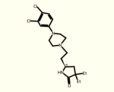 CCC1(CC)C[C@H](CCN2CCN(c3ccc(Cl)c(Cl)c3)CC2)NC1=O